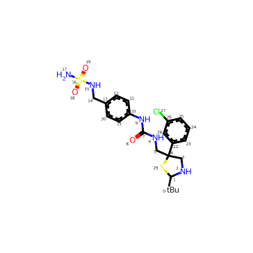 CC(C)(C)C1NCC(CNC(=O)Nc2ccc(CNS(N)(=O)=O)cc2)(c2cccc(Cl)c2)S1